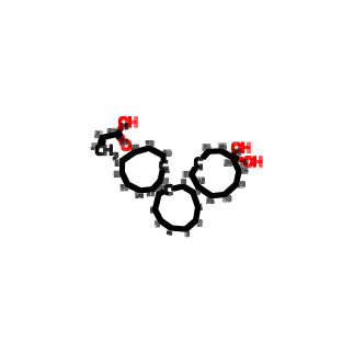 C1CCCCCCCCC1.C1CCCCCCCCC1.C=CC(=O)O.OC1(O)CCCCCCCCC1